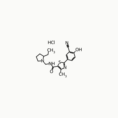 CCC1CCCN1CNC(=O)c1sc(-c2ccc(O)c(C#N)c2)nc1C.Cl